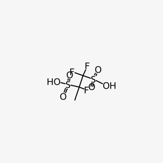 CC(F)(C(F)(F)S(=O)(=O)O)S(=O)(=O)O